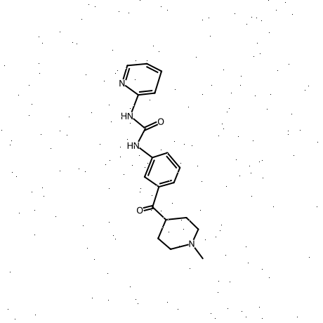 CN1CCC(C(=O)c2cccc(NC(=O)Nc3ccccn3)c2)CC1